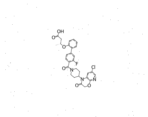 C[C@H](CC(=O)O)Oc1ccccc1-c1ccc(C(=O)N2CCC(N3C(=O)COc4ncc(Cl)cc43)CC2)c(F)c1